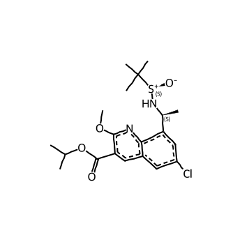 COc1nc2c([C@H](C)N[S@+]([O-])C(C)(C)C)cc(Cl)cc2cc1C(=O)OC(C)C